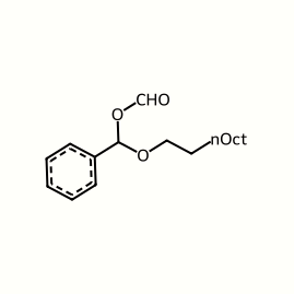 CCCCCCCCCCOC(OC=O)c1ccccc1